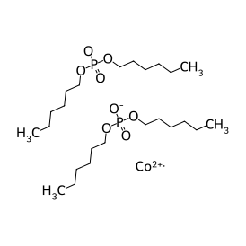 CCCCCCOP(=O)([O-])OCCCCCC.CCCCCCOP(=O)([O-])OCCCCCC.[Co+2]